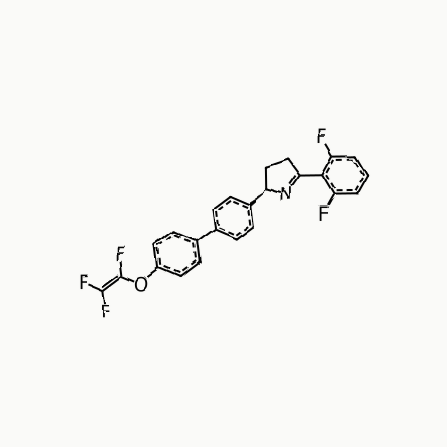 FC(F)=C(F)Oc1ccc(-c2ccc([C@H]3CCC(c4c(F)cccc4F)=N3)cc2)cc1